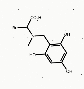 CCC(C)C(C(=O)O)N(C)Cc1c(O)cc(O)cc1O